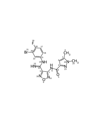 Cc1cc(C(=O)Nc2nonc2C(=N)Nc2ccc(F)c(Br)c2)nn1C